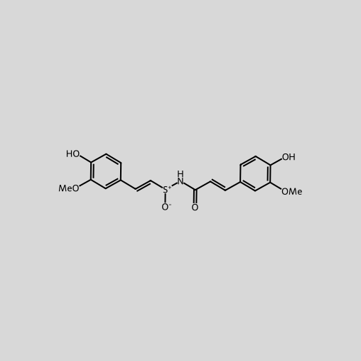 COc1cc(/C=C/C(=O)N[S+]([O-])/C=C/c2ccc(O)c(OC)c2)ccc1O